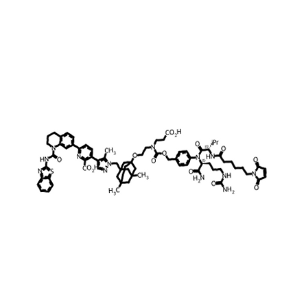 Cc1c(-c2ccc(-c3ccc4c(c3)N(C(=O)Nc3nc5ccccc5s3)CCC4)nc2C(=O)O)cnn1CC12CC3(C)CC(C)(C1)CC(OCCN(CCC(=O)O)C(=O)OCc1ccc(N(C(=O)[C@@H](NC(=O)CCCCCN4C(=O)C=CC4=O)C(C)C)[C@@H](CCCNC(N)=O)C(N)=O)cc1)(C3)C2